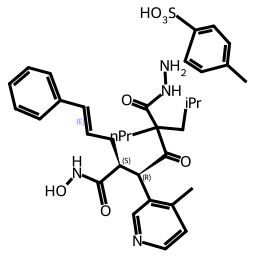 CCCC(CC(C)C)(C(=O)NN)C(=O)[C@@H](c1cnccc1C)[C@H](C/C=C/c1ccccc1)C(=O)NO.Cc1ccc(S(=O)(=O)O)cc1